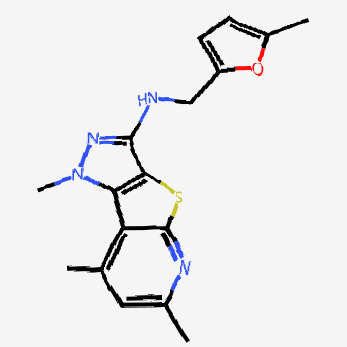 Cc1cc(C)c2c(n1)sc1c(NCc3ccc(C)o3)nn(C)c12